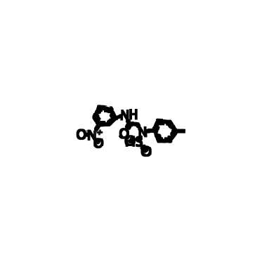 Cc1ccc(N(CC(=O)Nc2cccc([N+](=O)[O-])c2)[SH](=O)=O)cc1